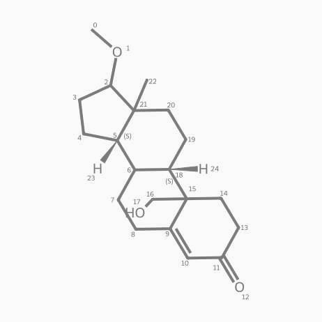 COC1CC[C@H]2C3CCC4=CC(=O)CCC4(CO)[C@H]3CCC12C